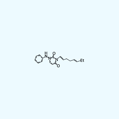 CCC=CCC/C=C/n1c(=O)ccn(Nc2ccccc2)c1=O